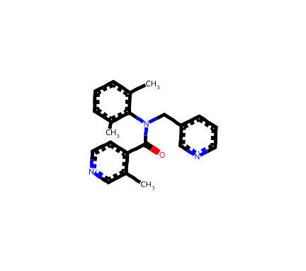 Cc1cnccc1C(=O)N(Cc1cccnc1)c1c(C)cccc1C